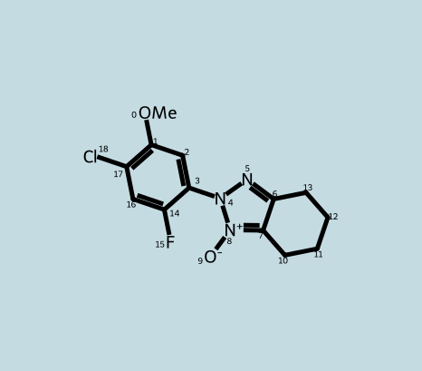 COc1cc(-n2nc3c([n+]2[O-])CCCC3)c(F)cc1Cl